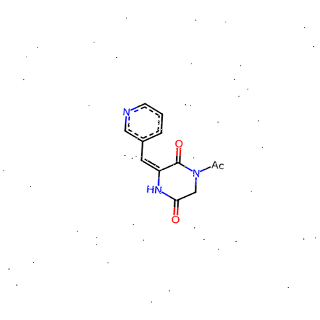 CC(=O)N1CC(=O)N/C(=C/c2cccnc2)C1=O